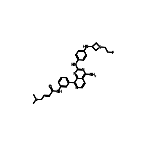 CN(C)CC=CC(=O)Nc1cccc(-c2nccc3c(N)nc(Nc4ccc(NC5CN(CCF)C5)cc4)nc23)c1